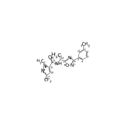 Cc1cccc(-c2noc(C(C)NC(=O)c3cc(C(F)(F)F)nn3C)n2)c1